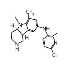 Cc1nc(Cl)ccc1Nc1cc2c(c(C(F)(F)F)c1)N(C)[C@@H]1CCNC[C@H]21